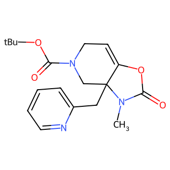 CN1C(=O)OC2=CCN(C(=O)OC(C)(C)C)CC21Cc1ccccn1